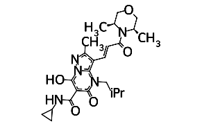 Cc1nn2c(O)c(C(=O)NC3CC3)c(=O)n(CC(C)C)c2c1/C=C/C(=O)N1[C@H](C)COC[C@@H]1C